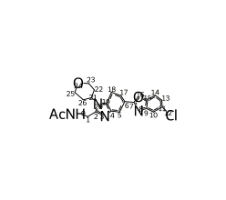 CC(=O)NCc1nc2cc(-c3nc4cc(Cl)ccc4o3)ccc2n1C1CCOCC1